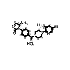 CCc1cnc(N2CCN(C(=O)c3ccc(N4C(=O)OC[C@H]4C)cc3)CC2)c(C)c1.Cl